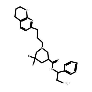 O=C(O)CC(NC(=O)C1CN(CCCc2ccc3c(n2)NCCC3)CC(F)(F)C1)c1ccccc1